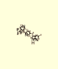 Cc1cnc2[nH]cc(Cc3ccc([CH]c4cnccc4C(F)(F)F)nc3)c2c1